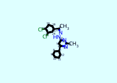 C/C(=N/Nc1cc(-c2ccccc2)nc(C)n1)c1ccc(Cl)c(Cl)c1